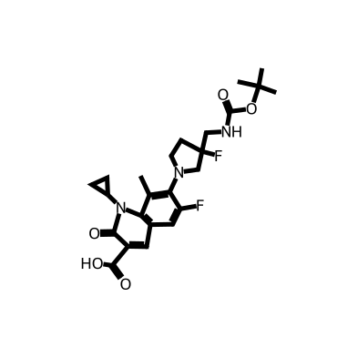 Cc1c(N2CCC(F)(CNC(=O)OC(C)(C)C)C2)c(F)cc2cc(C(=O)O)c(=O)n(C3CC3)c12